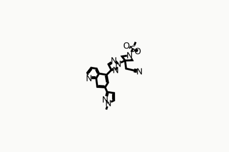 Cn1ccc(-c2cc(-c3cnn(C4(CC#N)CN(S(C)(=O)=O)C4)n3)c3cccnc3c2)n1